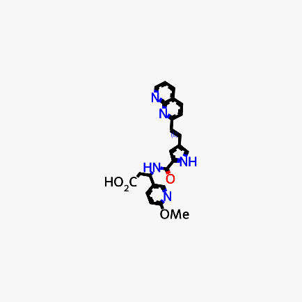 COc1ccc(C(CC(=O)O)NC(=O)c2cc(/C=C/c3ccc4cccnc4n3)c[nH]2)cn1